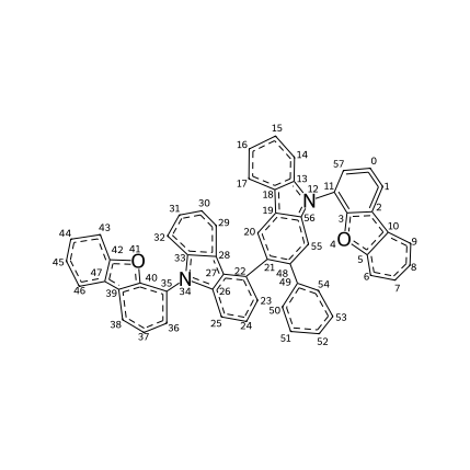 C1=C=c2c(oc3ccccc23)=C(n2c3ccccc3c3cc(-c4cccc5c4c4ccccc4n5-c4cccc5c4oc4ccccc45)c(-c4ccccc4)cc32)C=1